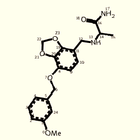 COc1cccc(COc2ccc(CNC(C)C(N)=O)c3c2OCO3)c1